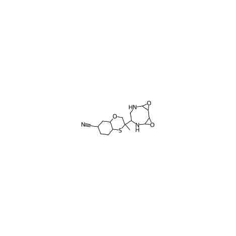 CC1(C2CNC3OC3C3OC3N2)COC2CC(C#N)CCC2S1